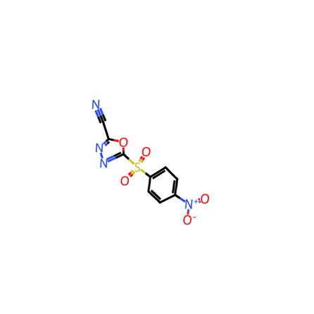 N#Cc1nnc(S(=O)(=O)c2ccc([N+](=O)[O-])cc2)o1